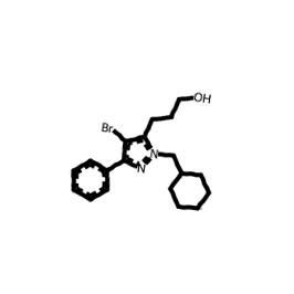 OCCCc1c(Br)c(-c2ccccc2)nn1CC1CC[CH]CC1